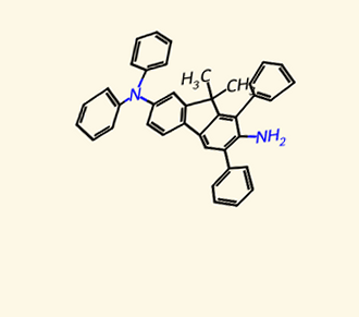 CC1(C)c2cc(N(c3ccccc3)c3ccccc3)ccc2-c2cc(-c3ccccc3)c(N)c(-c3ccccc3)c21